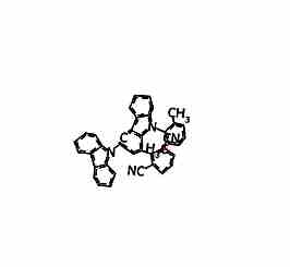 Cc1cccc(C)c1-n1c2ccccc2c2cc(-n3c4ccccc4c4ccccc43)cc(-c3c(C#N)cccc3C#N)c21